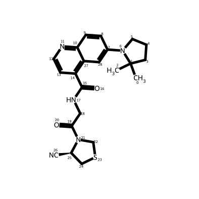 CC1(C)CCCN1c1ccc2nccc(C(=O)NCC(=O)N3CSC[C@H]3C#N)c2c1